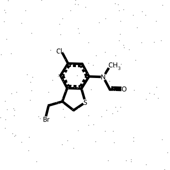 CN(C=O)c1cc(Cl)cc2c1SCC2CBr